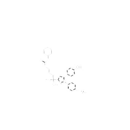 COc1ccc(-n2nc(C(C)(O)CCCOC(=O)OC3CCCCC3)cc2-c2ccc(C)cc2)cc1